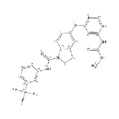 COC(=O)Nc1cc(Oc2ccc3c(c2)CCN3C(=O)Nc2cccc(C(F)(F)F)c2)ncn1